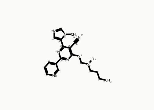 CCCC[S+]([O-])CSc1nc(-c2cccnc2)nc(-c2cncn2C)c1C#N